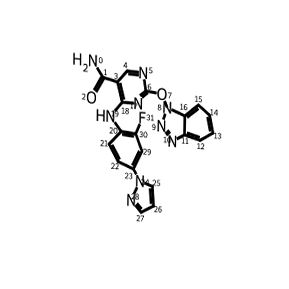 NC(=O)c1cnc(On2nnc3ccccc32)nc1Nc1ccc(-n2cccn2)cc1F